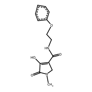 CN1CC(C(=O)NCCOc2ccccc2)=C(O)C1=O